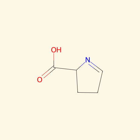 O=C(O)C1CCC=N1